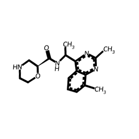 Cc1nc(C(C)NC(=O)[C@@H]2CNCCO2)c2cccc(C)c2n1